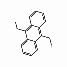 ICc1c2ccccc2c(CI)c2ccccc12